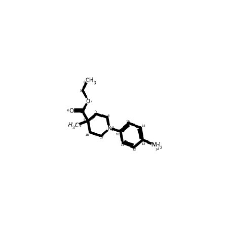 CCOC(=O)C1(C)CCN(c2ccc(N)cc2)CC1